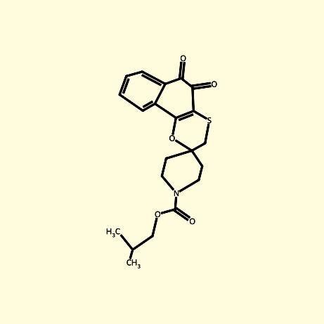 CC(C)COC(=O)N1CCC2(CC1)CSC1=C(O2)c2ccccc2C(=O)C1=O